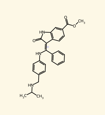 COC(=O)c1ccc2c(c1)NC(=O)/C2=C(\Nc1ccc(CNC(C)C)cc1)c1ccccc1